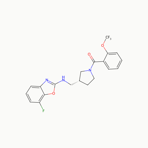 O=C(c1ccccc1OC(F)(F)F)N1CC[C@H](CNc2nc3cccc(F)c3o2)C1